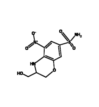 NS(=O)(=O)c1cc2c(c([N+](=O)[O-])c1)NC(CO)CO2